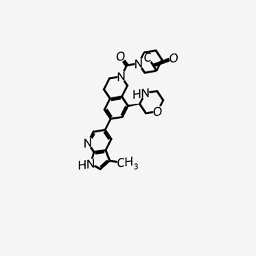 Cc1c[nH]c2ncc(-c3cc4c(c([C@@H]5COCCN5)c3)CN(C(=O)N3CC5CCC3CC5=O)CC4)cc12